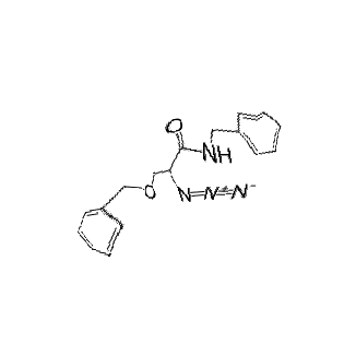 [N-]=[N+]=NC(COCc1ccccc1)C(=O)NCc1ccccc1